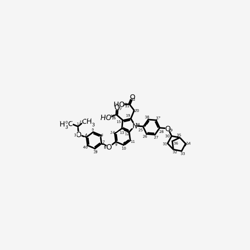 CC(C)Oc1ccc(Oc2ccc3c(c2)c(C(=O)O)c(CC(=O)O)n3-c2ccc(OC3CC4CCC3C4)cc2)cc1